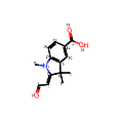 CN1C(=CC=O)C(C)(C)c2cc(C(=O)O)ccc21